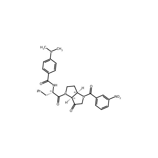 CC(C)C[C@H](NC(=O)c1ccc(N(C)C)cc1)C(=O)N1CC[C@@H]2[C@H]1C(=O)CN2C(=O)c1cccc([N+](=O)[O-])c1